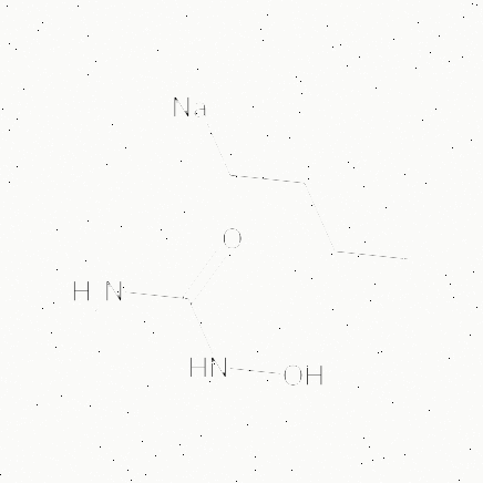 CCC[CH2][Na].NC(=O)NO